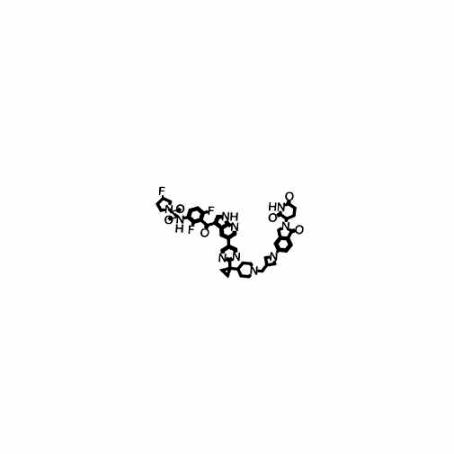 O=C1CCC(N2Cc3cc(N4CC(CN5CCC(C6(c7ncc(-c8cnc9[nH]cc(C(=O)c%10c(F)ccc(NS(=O)(=O)N%11CC[C@@H](F)C%11)c%10F)c9c8)cn7)CC6)CC5)C4)ccc3C2=O)C(=O)N1